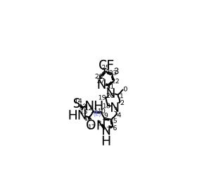 CC1CN(Cc2c[nH]nc2/C=C2/NC(=S)NC2=O)CCN1c1ccc(C(F)(F)F)cn1